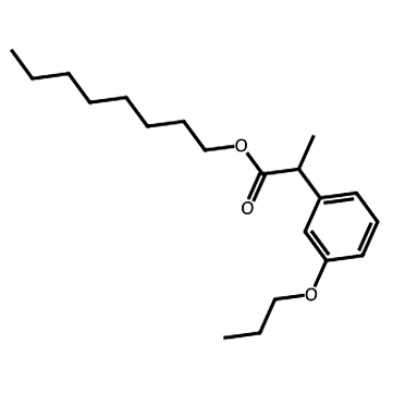 CCCCCCCCOC(=O)C(C)c1cccc(OCCC)c1